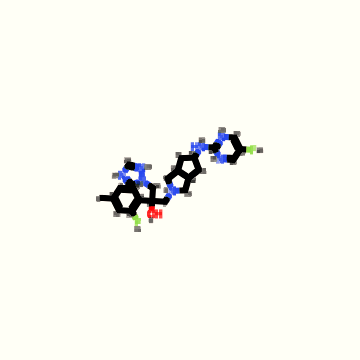 Cc1ccc(C(O)(CN2CC3CC(Nc4ncc(F)cn4)CC3C2)Cn2cncn2)c(F)c1